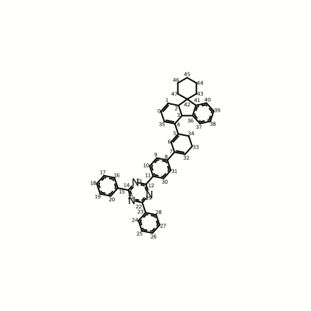 C1=CC2C(C(C3=CC(c4ccc(-c5nc(-c6ccccc6)nc(-c6ccccc6)n5)cc4)=CCC3)=C1)c1ccccc1C21CCCCC1